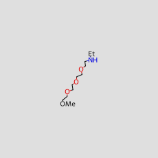 CCNCCOCCOCCOCCOC